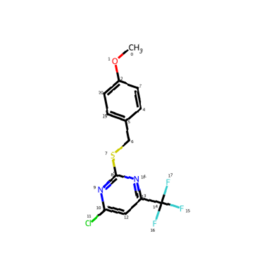 COc1ccc(CSc2nc(Cl)cc(C(F)(F)F)n2)cc1